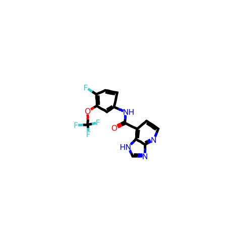 O=C(Nc1ccc(F)c(OC(F)(F)F)c1)c1ccnc2nc[nH]c12